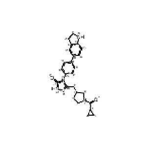 O=C(C1CC1)N1CC[C@@H](Cc2n[nH]c(=O)n2-c2ccc(-c3ccc4c(c3)CCN4)cc2)C1